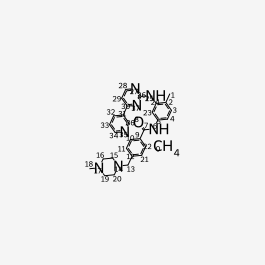 C.Cc1ccc(NC(=O)c2ccc(CN3CCN(C)CC3)cc2)cc1Nc1nccc(-c2cccnc2)n1